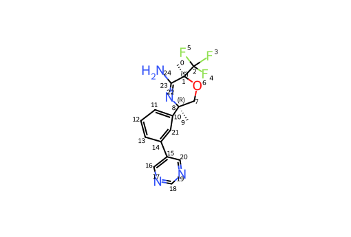 C[C@]1(C(F)(F)F)OC[C@@](C)(c2cccc(-c3cncnc3)c2)N=C1N